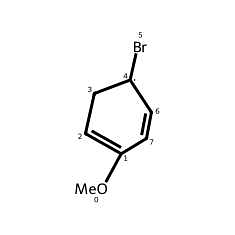 COC1=CC[C](Br)C=C1